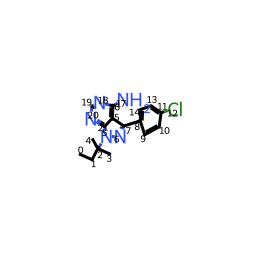 CCC(C)(C)n1nc(-c2ccc(Cl)cc2)c2c(N)ncnc21